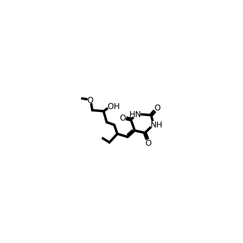 CCC(C=C1C(=O)NC(=O)NC1=O)CCC(O)COC